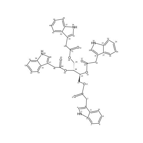 O=C(Cc1c[nH]c2ccccc12)OC[C@H](OC(=O)Cc1c[nH]c2ccccc12)[C@@H](COC(=O)Cc1c[nH]c2ccccc12)OC(=O)Cc1c[nH]c2ccccc12